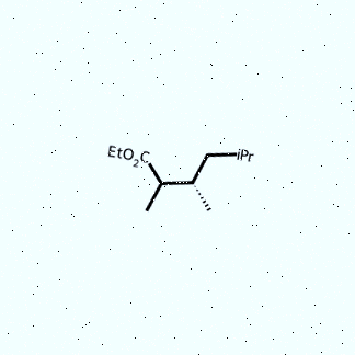 CCOC(=O)C(C)[C@@H](C)CC(C)C